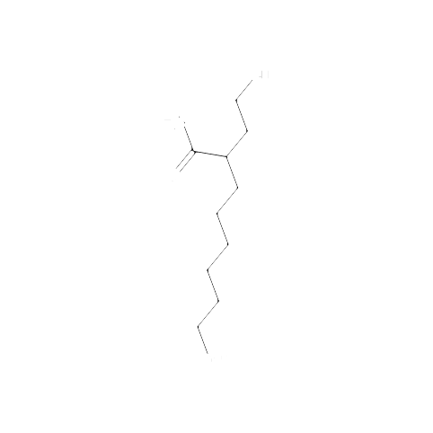 CCCCCCCCCCCCCCC(CCS)C(N)=O